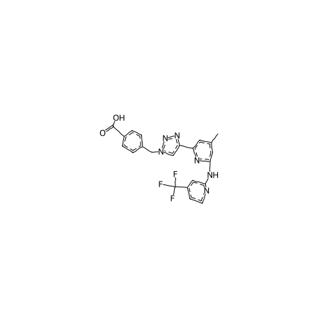 Cc1cc(Nc2cc(C(F)(F)F)ccn2)nc(-c2cn(Cc3ccc(C(=O)O)cc3)nn2)c1